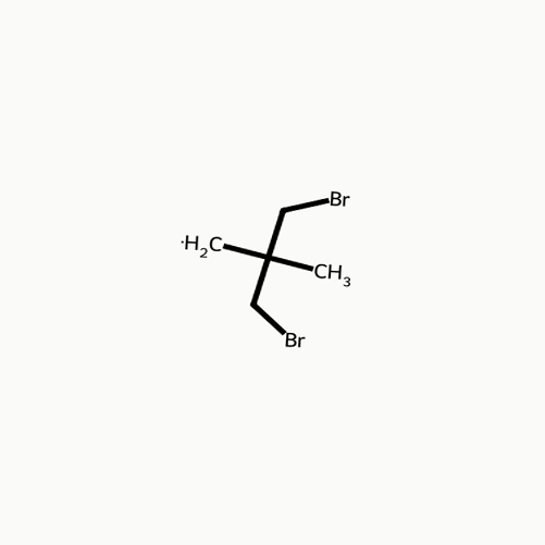 [CH2]C(C)(CBr)CBr